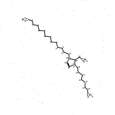 CCCCCCCCCCCCCCN1C=CN(CCCCCCCC)C1CC